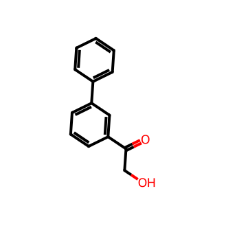 O=C(CO)c1cccc(-c2ccccc2)c1